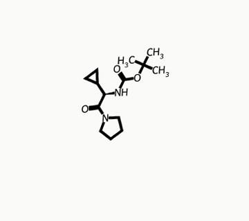 CC(C)(C)OC(=O)N[C@@H](C(=O)N1CCCC1)C1CC1